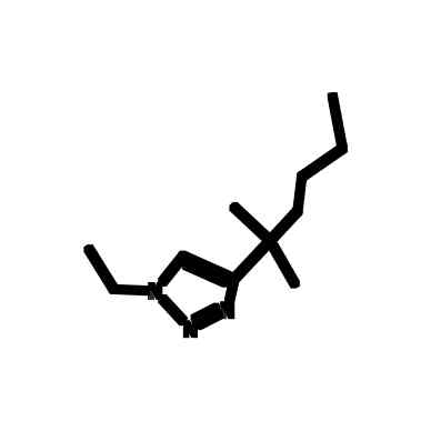 CCCCC(C)(C)c1cn(CC)nn1